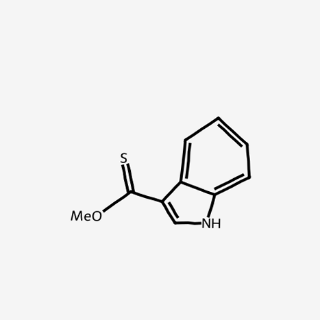 COC(=S)c1c[nH]c2ccccc12